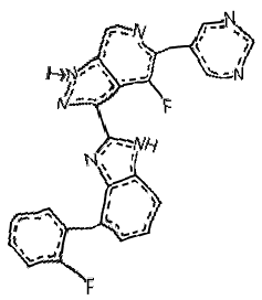 Fc1ccccc1-c1cccc2[nH]c(-c3n[nH]c4cnc(-c5cncnc5)c(F)c34)nc12